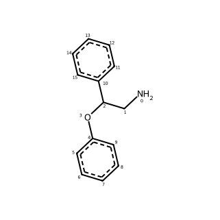 NCC(Oc1ccccc1)c1ccccc1